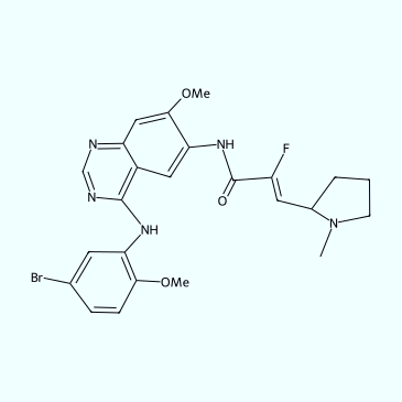 COc1cc2ncnc(Nc3cc(Br)ccc3OC)c2cc1NC(=O)C(F)=CC1CCCN1C